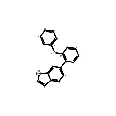 [c]1cccc(-c2ccc3cc[nH]c3c2)c1Oc1ccccc1